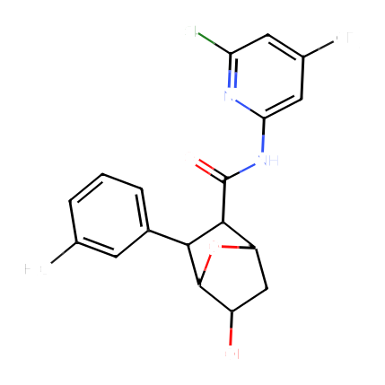 O=C(Nc1cc(C(F)(F)F)cc(Cl)n1)C1C2CC(O)C(O2)C1c1cccc(C(F)(F)F)c1